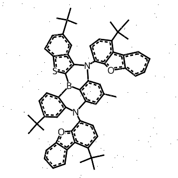 Cc1cc2c3c(c1)N(c1ccc(C(C)(C)C)c4c1oc1ccccc14)c1c(sc4ccc(C(C)(C)C)cc14)B3c1ccc(C(C)(C)C)cc1N2c1ccc(C(C)(C)C)c2c1oc1ccccc12